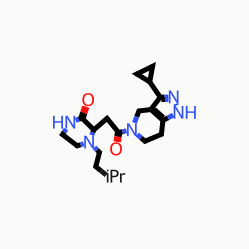 CC(C)CCN1CCNC(=O)C1CC(=O)N1CCc2[nH]nc(C3CC3)c2C1